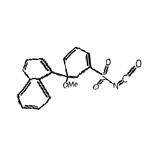 COC1(c2cccc3ccccc23)C=CC=C(S(=O)(=O)N=C=O)C1